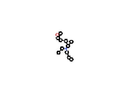 C1=CC(c2ccc3ccccc3c2)CC=C1N(c1cccc(-c2ccccc2)c1)c1ccc(-c2ccccc2)c(-c2cccc(-c3ccc4ccc5oc6ccccc6c5c4c3)c2)c1